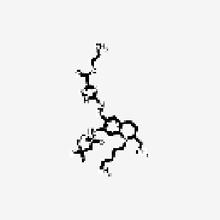 CCCCCN1c2cc(NS(=O)(=O)CC(F)(F)F)c(N=Nc3nnc(C(=O)OCCC)s3)cc2CCC1CC